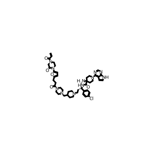 C=CC(=O)N1CCN(c2ccc(CCC(=O)N3CCN(CC4CCN(CC[C@H](NC(=O)C5(N)CCN(c6ncnc7[nH]ccc67)CC5)c5ccc(Cl)cc5)CC4)CC3)o2)C(=O)C1